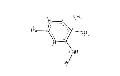 C.CC(C)Nc1nc(S)ncc1[N+](=O)[O-]